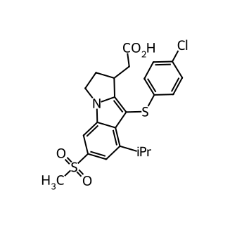 CC(C)c1cc(S(C)(=O)=O)cc2c1c(Sc1ccc(Cl)cc1)c1n2CCC1CC(=O)O